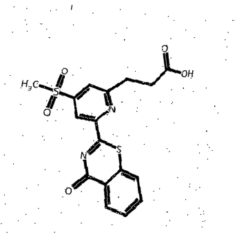 CS(=O)(=O)c1cc(CCC(=O)O)nc(-c2nc(=O)c3ccccc3s2)c1